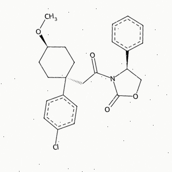 CO[C@H]1CC[C@@](CC(=O)N2C(=O)OC[C@@H]2c2ccccc2)(c2ccc(Cl)cc2)CC1